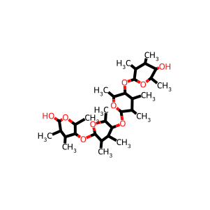 CC1OC(OC2C(C)OC(OC3C(C)OC(OC4C(C)OC(O)C(C)C4C)C(C)C3C)C(C)C2C)C(C)C(C)C1O